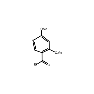 CCC(=O)c1cnc(OC)cc1OC